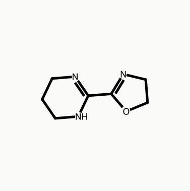 C1CN=C(C2=NCCO2)NC1